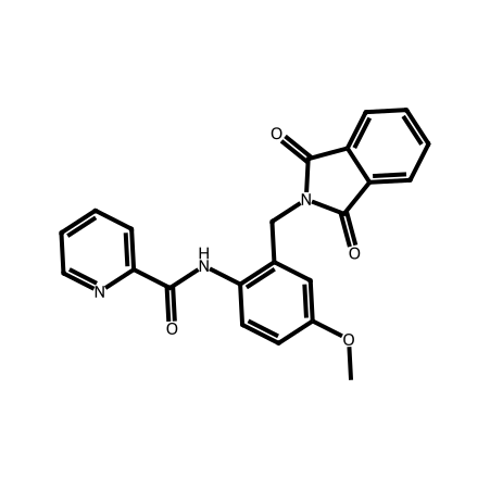 COc1ccc(NC(=O)c2ccccn2)c(CN2C(=O)c3ccccc3C2=O)c1